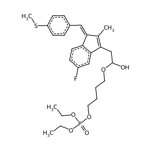 CCOP(=O)(OCC)OCCCCOC(O)CC1=C(C)/C(=C/c2ccc(SC)cc2)c2ccc(F)cc21